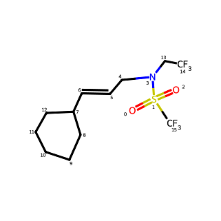 O=S(=O)(N(CC=CC1CCCCC1)CC(F)(F)F)C(F)(F)F